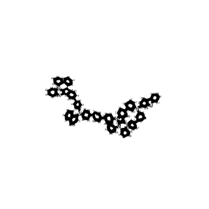 c1ccc(-c2cccc(N(c3cccc(-c4ccc5c(c4)c4c(n5-c5ccc(-c6ccc(-c7ccc(N(c8ccc(-c9ccc%10c(c9)C9=C([C@H]%10c%10ccccc%10)N(c%10ccccc%10)c%10ccccc%10S9)cc8)c8cccc9ccccc89)cc7)cc6)cc5)N(c5ccccc5)c5ccccc5S4)c3)c3ccc4c(c3)oc3ccccc34)c2)cc1